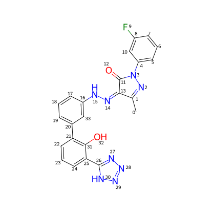 CC1=NN(c2cccc(F)c2)C(=O)/C1=N\Nc1cccc(-c2cccc(-c3nnn[nH]3)c2O)c1